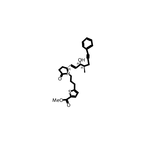 COC(=O)c1ccc(CCCN2C(=O)CC[C@@H]2C=C[C@H](O)[C@H](C)CC#Cc2ccccc2)s1